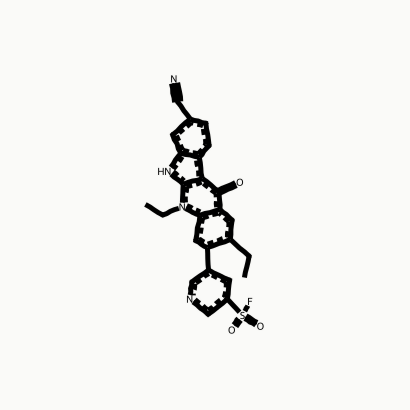 CCc1cc2c(=O)c3c4ccc(C#N)cc4[nH]c3n(CC)c2cc1-c1cncc(S(=O)(=O)F)c1